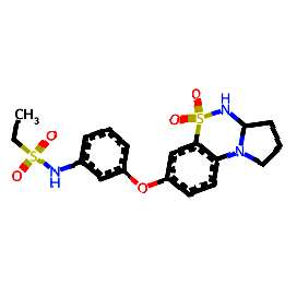 CCS(=O)(=O)Nc1cccc(Oc2ccc3c(c2)S(=O)(=O)NC2CCCN32)c1